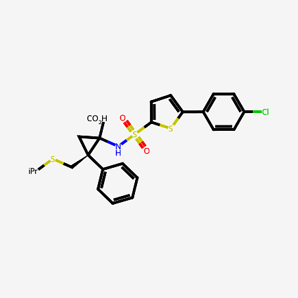 CC(C)SC[C@@]1(c2ccccc2)CC1(NS(=O)(=O)c1ccc(-c2ccc(Cl)cc2)s1)C(=O)O